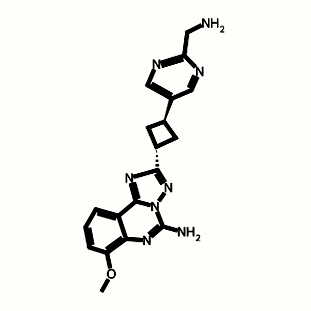 COc1cccc2c1nc(N)n1nc([C@H]3C[C@H](c4cnc(CN)nc4)C3)nc21